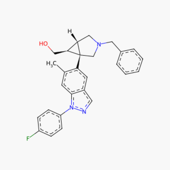 Cc1cc2c(cnn2-c2ccc(F)cc2)cc1[C@]12CN(Cc3ccccc3)C[C@H]1[C@@H]2CO